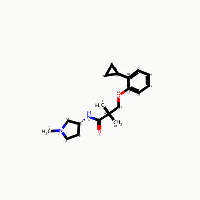 CN1CC[C@@H](NC(=O)C(C)(C)COc2ccccc2C2CC2)C1